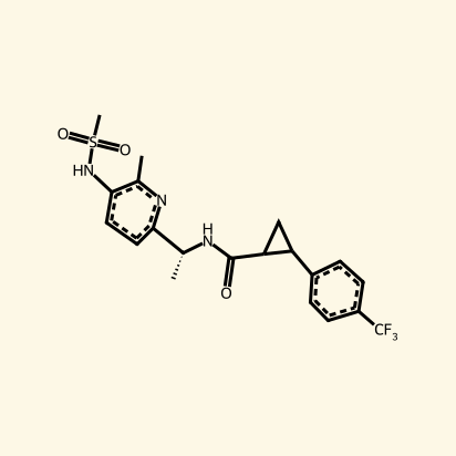 Cc1nc([C@@H](C)NC(=O)C2CC2c2ccc(C(F)(F)F)cc2)ccc1NS(C)(=O)=O